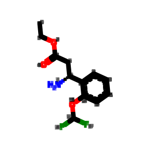 CCOC(=O)C[C@@H](N)c1ccccc1OC(F)F